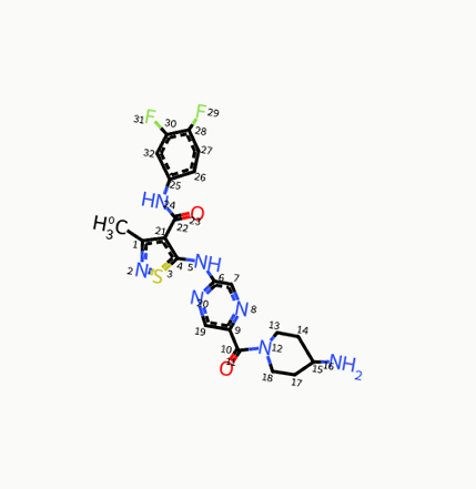 Cc1nsc(Nc2cnc(C(=O)N3CCC(N)CC3)cn2)c1C(=O)Nc1ccc(F)c(F)c1